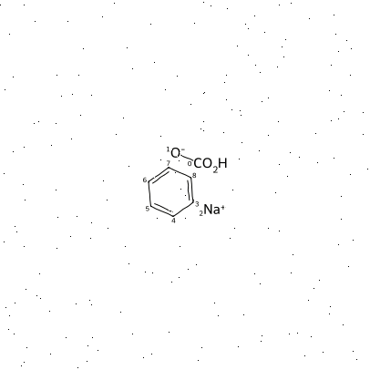 O=C([O-])O.[Na+].c1ccccc1